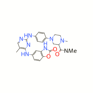 CNC(=O)C1CN(c2ccc(Nc3ncc(C)c(Nc4ccc5oc(=O)[nH]c5c4)n3)cc2)CCN1C